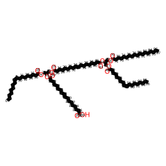 CCCCCCCC/C=C\CCCCCCCC(=O)OCC(COC(=O)CCCCCCC/C=C/CCCCCCCC(=O)OC(COC(=O)CCCCCCC/C=C\CCCCCCCC)COC(=O)CCCCCCCCCCCCCCCCC)OC(=O)CCCCCCC/C=C/CCCCCCCC(=O)O